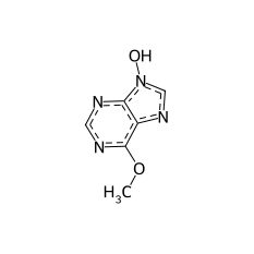 COc1ncnc2c1ncn2O